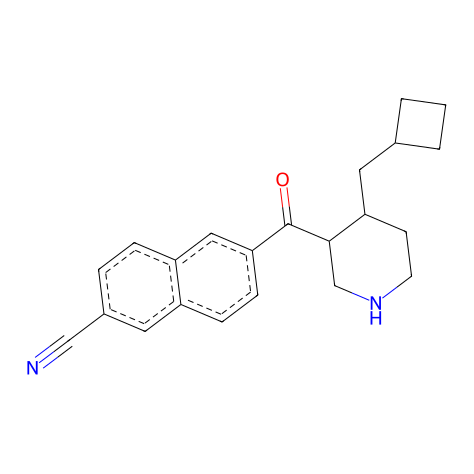 N#Cc1ccc2cc(C(=O)C3CNCCC3CC3CCC3)ccc2c1